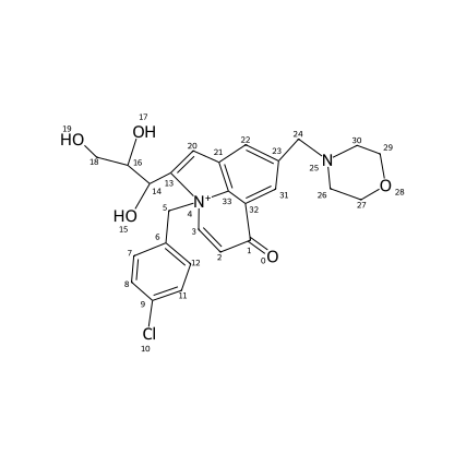 O=C1C=C[N+]2(Cc3ccc(Cl)cc3)C(C(O)C(O)CO)=Cc3cc(CN4CCOCC4)cc1c32